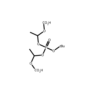 CC(OC(=O)O)OP(=O)(OC(C)OC(=O)O)OC(C)(C)C